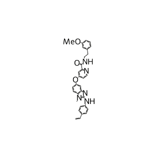 C=Cc1ccc(Nc2nc3cc(Oc4ccnc(C(=O)NCCc5cccc(OC)c5)c4)ccc3n2C)cc1